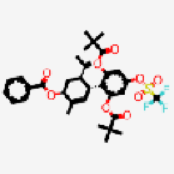 C=C(C)[C@@H]1C[C@H](OC(=O)c2ccccc2)C(C)=C[C@H]1c1c(OC(=O)C(C)(C)C)cc(OS(=O)(=O)C(F)(F)F)cc1OC(=O)C(C)(C)C